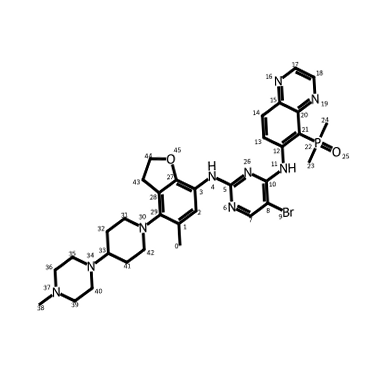 Cc1cc(Nc2ncc(Br)c(Nc3ccc4nccnc4c3P(C)(C)=O)n2)c2c(c1N1CCC(N3CCN(C)CC3)CC1)CCO2